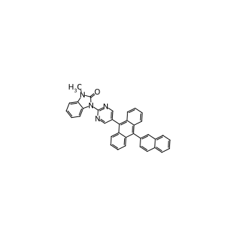 Cn1c(=O)n(-c2ncc(-c3c4ccccc4c(-c4ccc5ccccc5c4)c4ccccc34)cn2)c2ccccc21